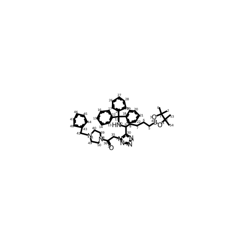 CC1(C)OB(CCCCC(NC(c2ccccc2)(c2ccccc2)c2ccccc2)c2nnnn2CC(=O)N2CCN(Cc3ccccc3)CC2)OC1(C)C